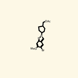 COc1cc2nn(C3CCC(COC(C)=O)CC3)cc2cc1Br